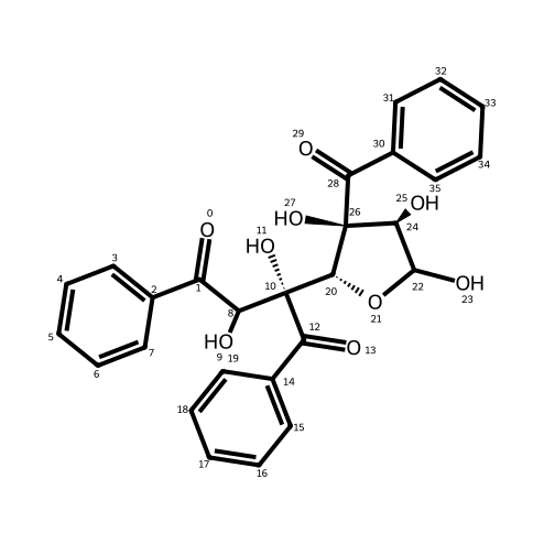 O=C(c1ccccc1)C(O)[C@](O)(C(=O)c1ccccc1)[C@H]1OC(O)[C@H](O)[C@@]1(O)C(=O)c1ccccc1